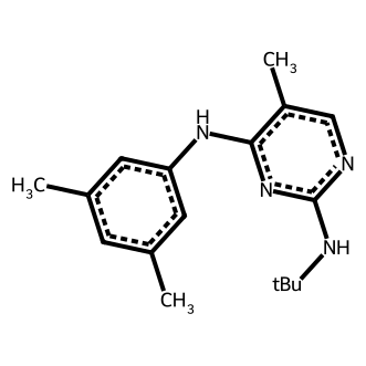 Cc1cc(C)cc(Nc2nc(NC(C)(C)C)ncc2C)c1